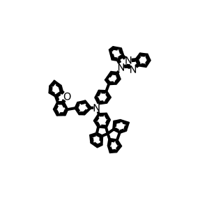 c1ccc2c(c1)-c1ccccc1C21c2ccccc2-c2cc(N(c3ccc(-c4ccc(-n5c6ccccc6n6c7ccccc7nc56)cc4)cc3)c3ccc(-c4cccc5c4oc4ccccc45)cc3)ccc21